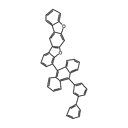 c1ccc(-c2cccc(-c3c4ccccc4c(-c4cccc5c4oc4cc6oc7ccccc7c6cc45)c4ccccc34)c2)cc1